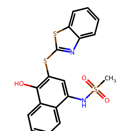 CS(=O)(=O)Nc1cc(Sc2nc3ccccc3s2)c(O)c2ccccc12